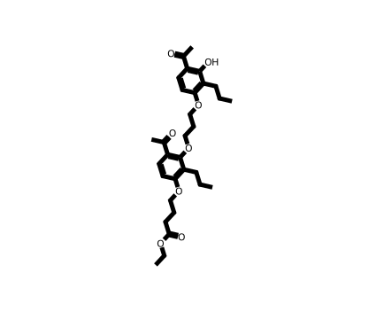 CCCc1c(OCCCOc2c(C(C)=O)ccc(OCCCC(=O)OCC)c2CCC)ccc(C(C)=O)c1O